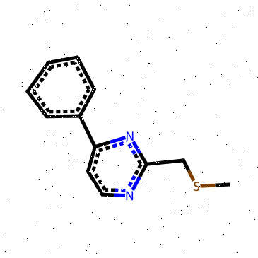 CSCc1nccc(-c2ccccc2)n1